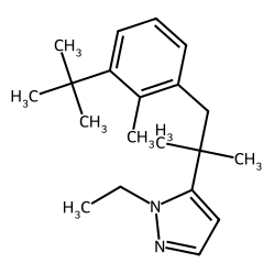 CCn1nccc1C(C)(C)Cc1cccc(C(C)(C)C)c1C